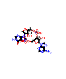 Nc1ncnc2c1ncn2[C@@H]1OC2COP(=O)(O)O[C@]3(n4cnc5c(=O)[nH]cnc54)CO[C@H](COP(=O)(O)O[C@H]2[C@H]1O)[C@H]3O